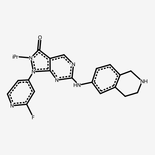 CC(C)n1c(=O)c2cnc(Nc3ccc4c(c3)CCNC4)nc2n1-c1ccnc(F)c1